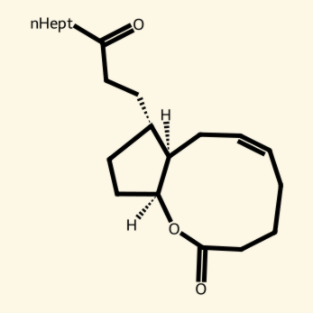 CCCCCCCC(=O)CC[C@H]1CC[C@@H]2OC(=O)CCC/C=C\C[C@H]12